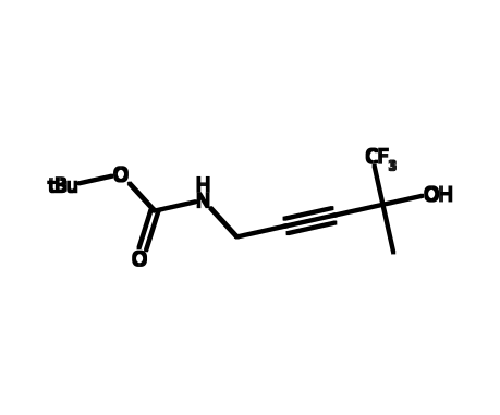 CC(C)(C)OC(=O)NCC#CC(C)(O)C(F)(F)F